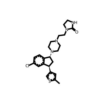 Cc1cc([C@@H]2C[C@@H](N3CCN(CCN4CCNC4=O)CC3)c3ccc(Cl)cc32)cs1